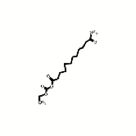 CCOC(=O)OC(=O)CCCCCCCCCCC(N)=O